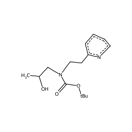 CC(O)CN(CCc1ccccn1)C(=O)OC(C)(C)C